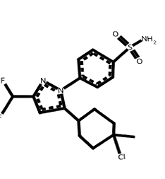 CC1(Cl)CCC(c2cc(C(F)F)nn2-c2ccc(S(N)(=O)=O)cc2)CC1